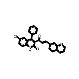 O=C(/C=C/c1ccc2cccnc2c1)c1c(-c2ccccc2)c2cc(Cl)ccc2[nH]c1=O